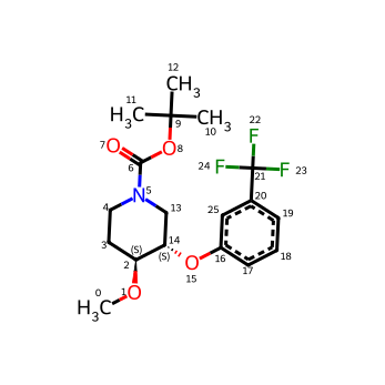 CO[C@H]1CCN(C(=O)OC(C)(C)C)C[C@@H]1Oc1cccc(C(F)(F)F)c1